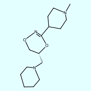 CN1CCC(C2=NOC[C@@H](CN3CCCCC3)O2)CC1